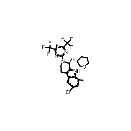 FC(F)(F)c1nc(N2CCc3c([nH]c4c(I)cc(Cl)cc34)[C@@H]2C[C@@H]2CCCOC2)nc(C(F)(F)F)n1